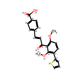 COc1ccc(-c2cccs2)c(OC)c1C(=O)C=Cc1ccc(C(=O)O)cc1